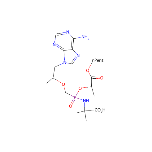 CCCCCOC(=O)C(C)OP(=O)(COC(C)Cn1cnc2c(N)ncnc21)NC(C)(C)C(=O)O